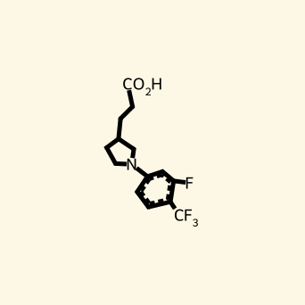 O=C(O)CCC1CCN(c2ccc(C(F)(F)F)c(F)c2)C1